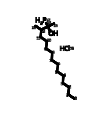 CCCCCCCCCCCCC(C)C(C)(O)P.Cl